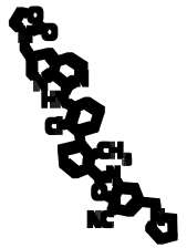 Cc1c(-c2nc3cc(CN4CCCC4)cc(C#N)c3o2)cccc1-c1cccc(Nc2nccc3cc(CN4CCOC4=O)cnc23)c1Cl